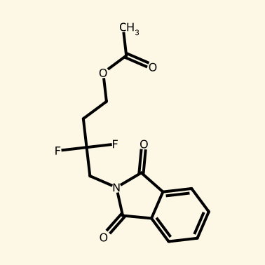 CC(=O)OCCC(F)(F)CN1C(=O)c2ccccc2C1=O